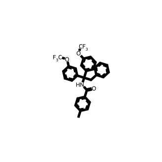 Cc1ccc(C(=O)NC(Cc2ccccc2)(c2cccc(OC(F)(F)F)c2)c2cccc(OC(F)(F)F)c2)cc1